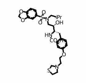 CC(C)CN(C[C@H](O)[C@H](Cc1ccc(OCCN2CCSC2)cc1)NC(=O)O)S(=O)(=O)c1ccc2c(c1)OCO2